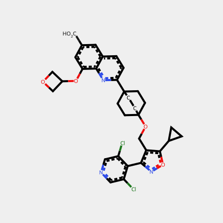 O=C(O)c1cc(OC2COC2)c2nc(C34CCC(OCc5c(-c6c(Cl)cncc6Cl)noc5C5CC5)(CC3)CC4)ccc2c1